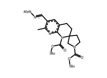 CN/N=C/c1cc2c(nc1C)N(C(=O)OC(C)(C)C)C1(CC2)CCN(C(=O)OC(C)(C)C)C1